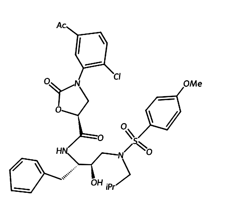 COc1ccc(S(=O)(=O)N(CC(C)C)C[C@@H](O)[C@H](Cc2ccccc2)NC(=O)[C@@H]2CN(c3cc(C(C)=O)ccc3Cl)C(=O)O2)cc1